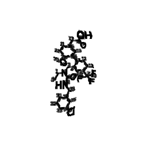 CCN(Cc1cc(C(F)(F)F)ccc1-c1cc(CC(=O)O)ccc1OC)C(=O)NCc1cccc(Cl)c1